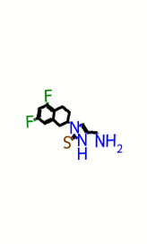 NCc1cn([C@H]2CCc3c(F)cc(F)cc3C2)c(=S)[nH]1